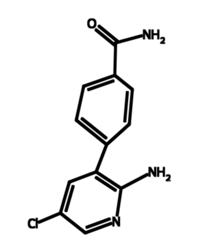 NC(=O)c1ccc(-c2cc(Cl)cnc2N)cc1